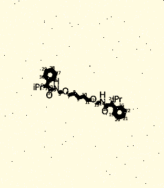 CC(C)C(C(=O)NCOCCCCCOCNC(=O)C(c1ccccc1)C(C)C)c1ccccc1